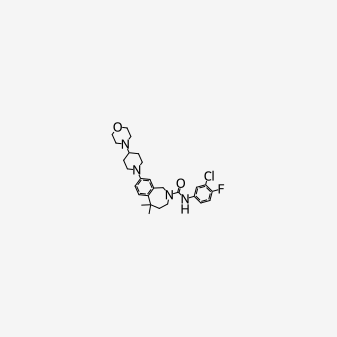 CC1(C)CCN(C(=O)Nc2ccc(F)c(Cl)c2)Cc2cc(N3CCC(N4CCOCC4)CC3)ccc21